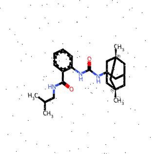 CC(C)CNC(=O)c1ccccc1NC(=O)NC12CC3C[C@@](C)(C1)C[C@](C)(C3)C2